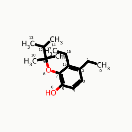 CCc1ccc(O)c(OC(C)(C)C(C)C)c1CC